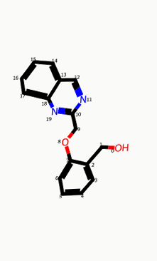 OCc1ccccc1OCc1ncc2ccccc2n1